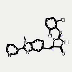 Cn1c(-c2cccnc2)nc2cc(/C=C3\S/C(=N\c4c(Cl)cccc4Cl)NC3=O)ccc21